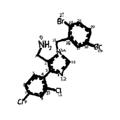 NCc1c(-c2ccc(Cl)cc2Cl)ncn1Cc1cc(Br)ccc1Br